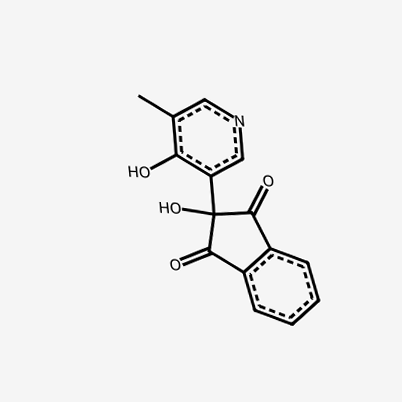 Cc1cncc(C2(O)C(=O)c3ccccc3C2=O)c1O